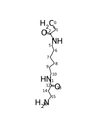 C=CC(=O)NCCCCCCNC(=O)CCN